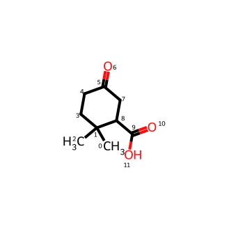 CC1(C)CCC(=O)CC1C(=O)O